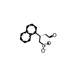 O=CC[C@H](C[N+](=O)[O-])c1cccc2ccccc12